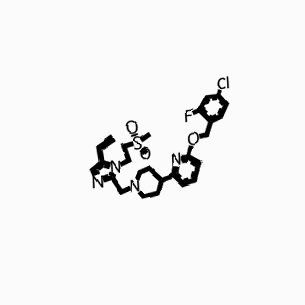 C=Cc1cnc(CN2CCC(c3cccc(OCc4ccc(Cl)cc4F)n3)CC2)n1CCS(C)(=O)=O